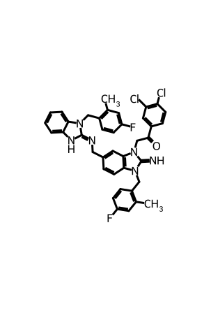 Cc1cc(F)ccc1Cn1c(=N)n(CC(=O)c2ccc(Cl)c(Cl)c2)c2cc(C/N=c3\[nH]c4ccccc4n3Cc3ccc(F)cc3C)ccc21